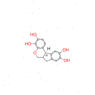 Oc1cc2c(cc1O)[C@@H]1c3ccc(O)c(O)c3OCC1C2